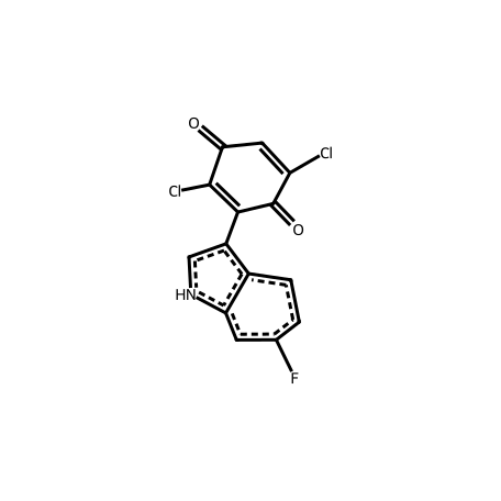 O=C1C=C(Cl)C(=O)C(c2c[nH]c3cc(F)ccc23)=C1Cl